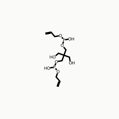 C=CCOP(O)OCC(CO)(CO)COP(O)OCC=C